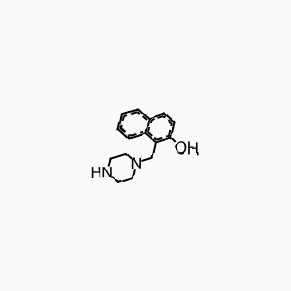 Oc1ccc2ccccc2c1CN1CCNCC1